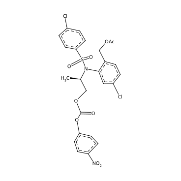 CC(=O)OCc1ccc(Cl)cc1N([C@H](C)COC(=O)Oc1ccc([N+](=O)[O-])cc1)S(=O)(=O)c1ccc(Cl)cc1